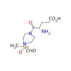 C[SH](=O)(C=O)N1CCN(C(=O)[C@@H](N)CCC(=O)O)CC1